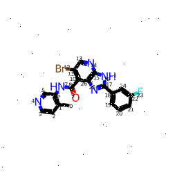 Cc1ccncc1NC(=O)c1c(Br)cnc2[nH]c(-c3cccc(F)c3)nc12